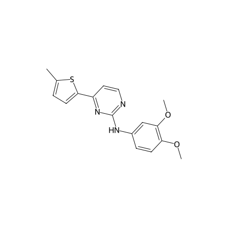 COc1ccc(Nc2nccc(-c3ccc(C)s3)n2)cc1OC